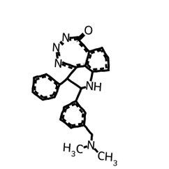 CN(C)Cc1cccc(C2Nc3cccc4c(=O)nnnc(c34)C2c2ccccc2)c1